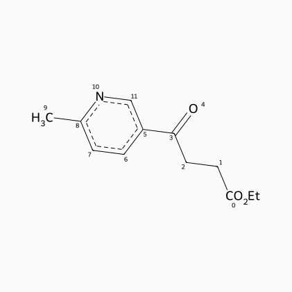 CCOC(=O)CCC(=O)c1ccc(C)nc1